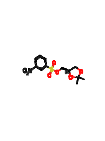 CC1(C)OC[C@H](COS(=O)(=O)c2cccc([N+](=O)[O-])c2)O1